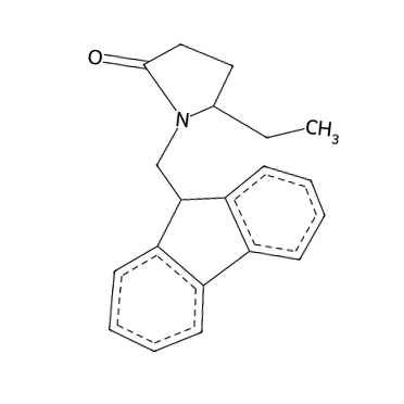 CCC1CCC(=O)N1CC1c2ccccc2-c2ccccc21